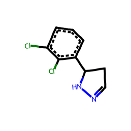 Clc1cccc(C2CC=NN2)c1Cl